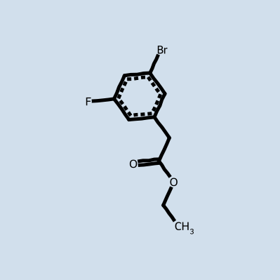 CCOC(=O)Cc1cc(F)cc(Br)c1